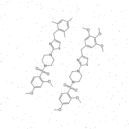 COc1ccc(S(=O)(=O)N2CCN(c3nc(Cc4c(C)cc(C)cc4C)cs3)CC2)c(OC)c1.COc1ccc(S(=O)(=O)N2CCN(c3nc(Cc4cc(OC)c(OC)c(OC)c4)cs3)CC2)c(OC)c1